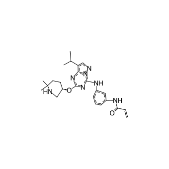 C=CC(=O)Nc1cccc(Nc2nc(O[C@@H]3CCC(C)(C)NC3)nc3c(C(C)C)cnn23)c1